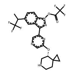 CC(c1ccc2c(c1)c(-c1cncc(O[C@H]3CNCCC34CC4)n1)nn2OC(=O)C(F)(F)F)C(F)(F)F